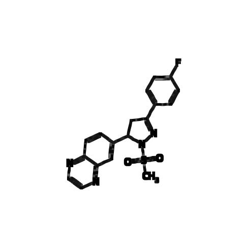 CS(=O)(=O)N1N=C(c2ccc(F)cc2)CC1c1ccc2nccnc2c1